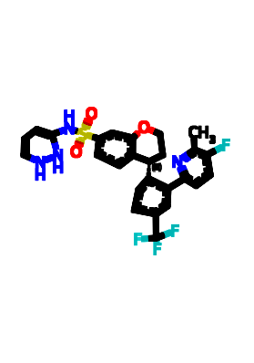 Cc1nc(-c2cc(C(F)(F)F)ccc2[C@H]2CCOc3cc(S(=O)(=O)NC4=CC=CNN4)ccc32)ccc1F